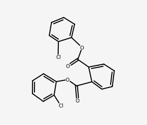 O=C(Oc1ccccc1Cl)c1ccccc1C(=O)Oc1ccccc1Cl